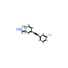 Fc1cccc(C#CC2=CC3=CNSN3C=C2)c1